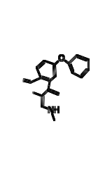 C=Cc1ccc(Oc2ccccc2)cc1C(=C)/C(C)=C\NC